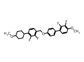 COc1ccc(-c2ccc(OCc3ccc(C4CCC(OC)CC4)c(F)c3F)cc2)c(F)c1F